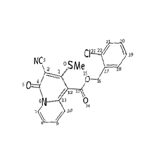 CSc1c(C#N)c(=O)n2ccccc2c1C(=O)OCc1ccccc1Cl